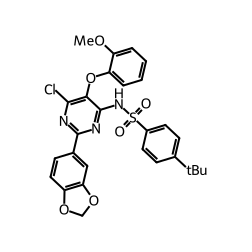 COc1ccccc1Oc1c(Cl)nc(-c2ccc3c(c2)OCO3)nc1NS(=O)(=O)c1ccc(C(C)(C)C)cc1